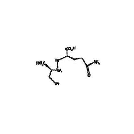 CC(C)C[C@H](NN[C@@H](CCC(N)=O)C(=O)O)C(=O)O